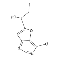 CCC(O)c1cc2ncnc(Cl)c2o1